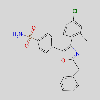 Cc1cc(Cl)ccc1-c1nc(Cc2ccccc2)oc1-c1ccc(S(N)(=O)=O)cc1